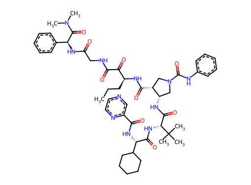 CCC[C@H](NC(=O)[C@@H]1CN(C(=O)Nc2ccccc2)C[C@@H]1NC(=O)[C@@H](NC(=O)[C@@H](NC(=O)c1cnccn1)C1CCCCC1)C(C)(C)C)C(=O)C(=O)NCC(=O)N[C@H](C(=O)N(C)C)c1ccccc1